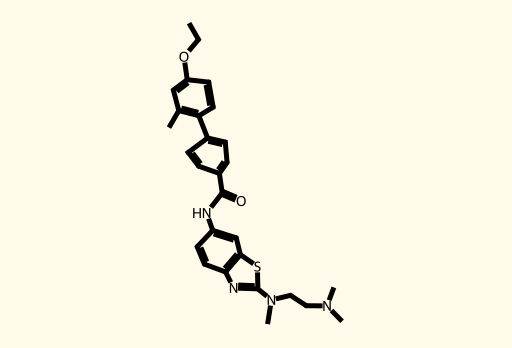 CCOc1ccc(-c2ccc(C(=O)Nc3ccc4nc(N(C)CCN(C)C)sc4c3)cc2)c(C)c1